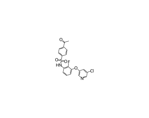 CC(=O)c1ccc(S(=O)(=O)Nc2cccc(Oc3cncc(Cl)c3)c2F)cc1